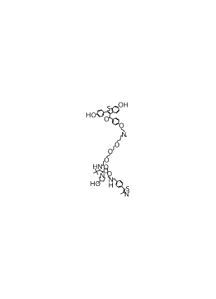 Cc1ncsc1-c1ccc(CNC(=O)[C@@H]2C[C@@H](O)CN2C(=O)C(NC(=O)COCCOCCOCCCN(C)CCOc2ccc(C(=O)c3c(-c4ccc(O)cc4)sc4cc(O)ccc34)cc2)C(C)(C)C)cc1